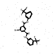 O=C(Nc1cccc(C(F)(F)F)c1)c1cc(Br)cc(C(=O)Nc2cccc(C(F)(F)F)c2)c1